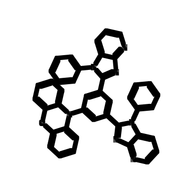 c1ccc(-n2c(-c3cc(-c4nc5ncccc5n4-c4ccccc4)cc(N4c5ccccc5Oc5ccccc54)c3)nc3ncccc32)cc1